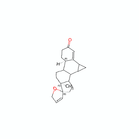 C[C@]12CCC3C(C4CC4C4=CC(=O)CC[C@@H]43)C1CC[C@@]21C=CCO1